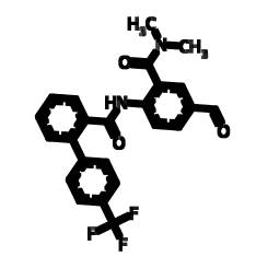 CN(C)C(=O)c1cc(C=O)ccc1NC(=O)c1ccccc1-c1ccc(C(F)(F)F)cc1